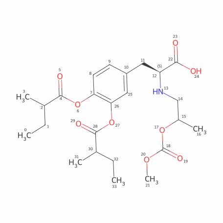 CCC(C)C(=O)Oc1ccc(C[C@H](NCC(C)OC(=O)OC)C(=O)O)cc1OC(=O)C(C)CC